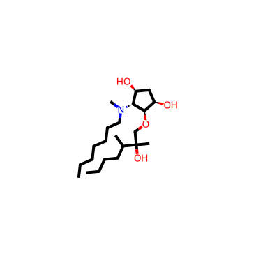 CCCCCCCN(C)[C@H]1[C@H](OCC(C)(O)C(C)CCCC)[C@H](O)C[C@@H]1O